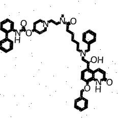 CN(CCN1CCC(OC(=O)Nc2ccccc2-c2ccccc2)CC1)C(=O)CCCCCN(Cc1ccccc1)C[C@H](O)c1ccc(OCc2ccccc2)c2[nH]c(=O)ccc12